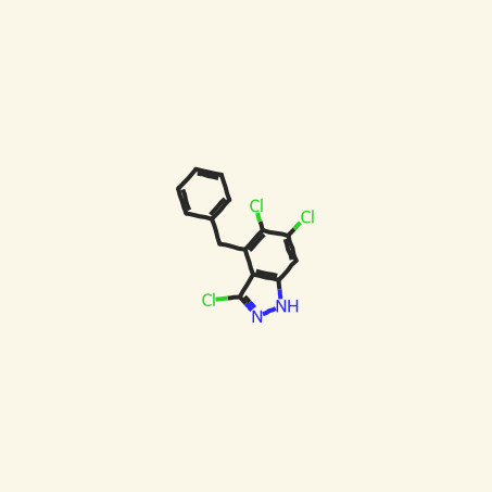 Clc1cc2[nH]nc(Cl)c2c(Cc2ccccc2)c1Cl